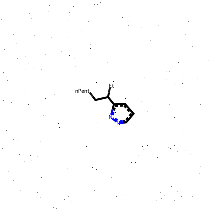 CCCCCCC(CC)c1cccnn1